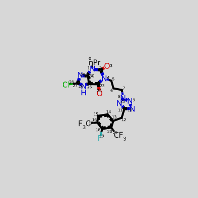 CCCn1c(=O)n(CCCn2nnc(Cc3ccc(C(F)(F)F)c(F)c3C(F)(F)F)n2)c(=O)c2[nH]c(Cl)nc21